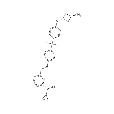 CC(C)(c1ccc(OCc2ccnc(C(O)C3CC3)n2)cc1)c1ccc(O[C@H]2C[C@H](N)C2)cc1